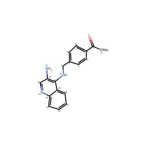 COC(=O)c1ccc(CNc2c(N)cnc3ccccc23)cc1